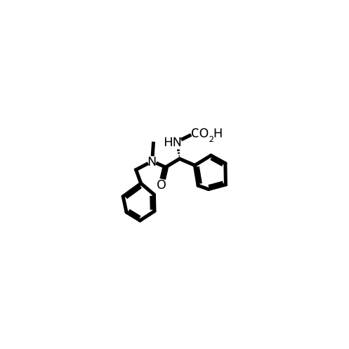 CN(Cc1ccccc1)C(=O)[C@H](NC(=O)O)c1ccccc1